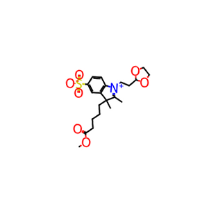 COC(=O)CCCCC1(C)C(C)=[N+](CCC2OCCO2)c2ccc(S(=O)(=O)[O-])cc21